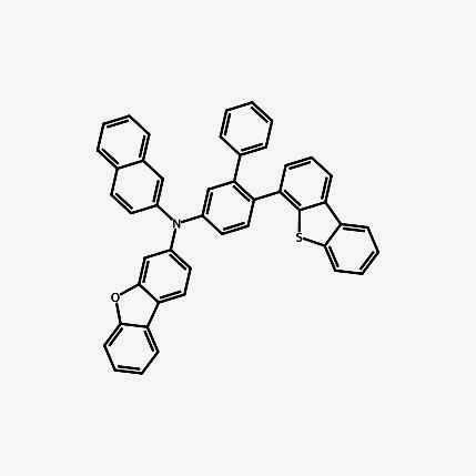 c1ccc(-c2cc(N(c3ccc4ccccc4c3)c3ccc4c(c3)oc3ccccc34)ccc2-c2cccc3c2sc2ccccc23)cc1